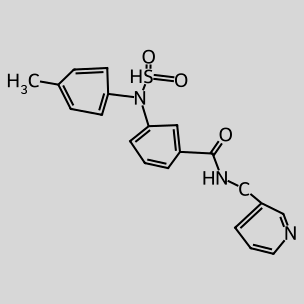 Cc1ccc(N(c2cccc(C(=O)NCc3cccnc3)c2)[SH](=O)=O)cc1